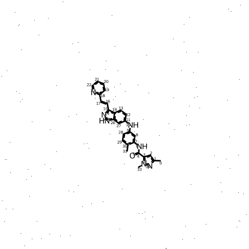 Cc1cc(C(=O)Nc2cc(Nc3ccc4c(/C=C/c5ccccn5)n[nH]c4c3)ccc2C)n(C)n1